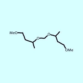 COCCC(C)OCOC(C)CCOC